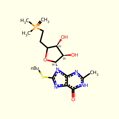 C=P(C)(C)CCC1O[C@@H](n2c(SCCCC)nc3c(=O)[nH]c(C)nc32)[C@H](O)[C@@H]1O